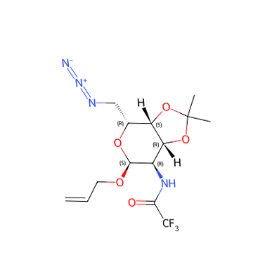 C=CCO[C@H]1O[C@H](CN=[N+]=[N-])[C@@H]2OC(C)(C)O[C@@H]2[C@H]1NC(=O)C(F)(F)F